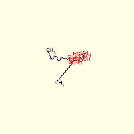 CCCCC/C=C\C/C=C\C/C=C\C/C=C\CCCC(=O)OC[C@H](COP(=O)(O)OC1C(O)C(O)C(O)[C@@H](O)C1O)OC(=O)CCCCCCCCCCCCCCC